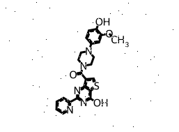 COc1cc(N2CCN(C(=O)c3csc4c(O)nc(-c5ccccn5)nc34)CC2)ccc1O